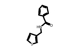 O=C(NCc1[c]scc1)c1ccccc1